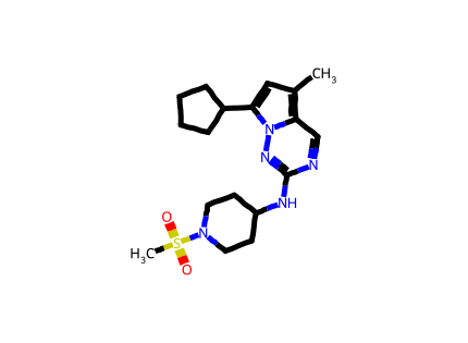 Cc1cc(C2CCCC2)n2nc(NC3CCN(S(C)(=O)=O)CC3)ncc12